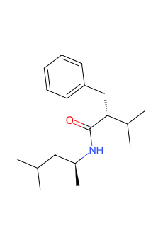 CC(C)C[C@H](C)NC(=O)[C@H](Cc1ccccc1)C(C)C